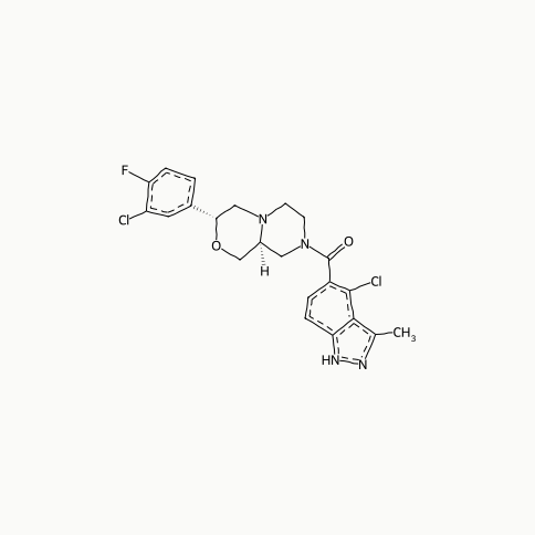 Cc1n[nH]c2ccc(C(=O)N3CCN4C[C@@H](c5ccc(F)c(Cl)c5)OC[C@@H]4C3)c(Cl)c12